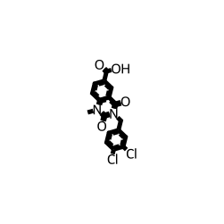 Cn1c(=O)n(Cc2ccc(Cl)c(Cl)c2)c(=O)c2cc(C(=O)O)ccc21